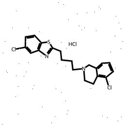 Cl.Clc1ccc2sc(CCCCN3CCc4c(Cl)cccc4C3)nc2c1